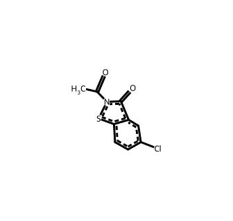 CC(=O)n1sc2ccc(Cl)cc2c1=O